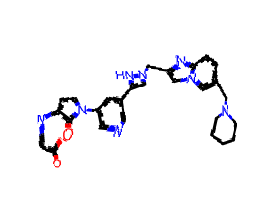 O=c1cnc2ccn(-c3cncc(-c4cn(Cc5cn6cc(CN7CCCCC7)ccc6n5)[nH]4)c3)c2o1